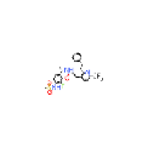 C[C@@H](NC(=O)C=Cc1ccc(C(F)(F)F)nc1CCc1ccccc1)c1ccc(NS(C)(=O)=O)c(F)c1